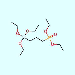 CCO[Si](CCCP(=O)(OCC)OCC)(OCC)OCC